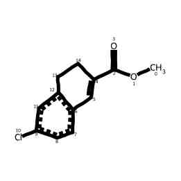 COC(=O)C1=Cc2ccc(Cl)cc2CC1